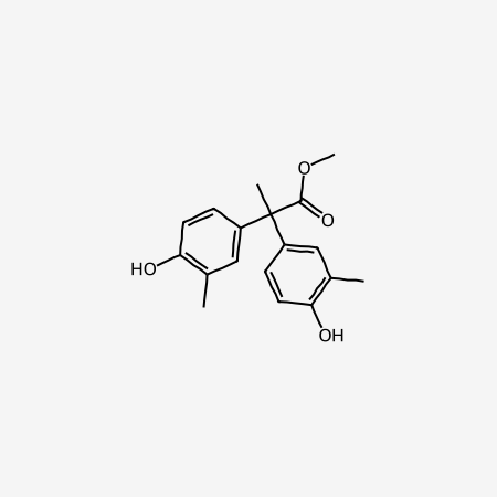 COC(=O)C(C)(c1ccc(O)c(C)c1)c1ccc(O)c(C)c1